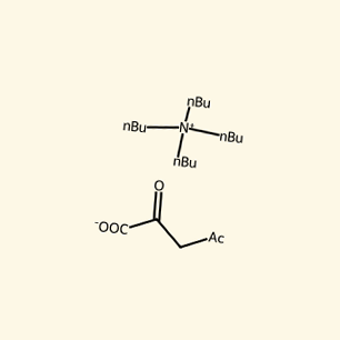 CC(=O)CC(=O)C(=O)[O-].CCCC[N+](CCCC)(CCCC)CCCC